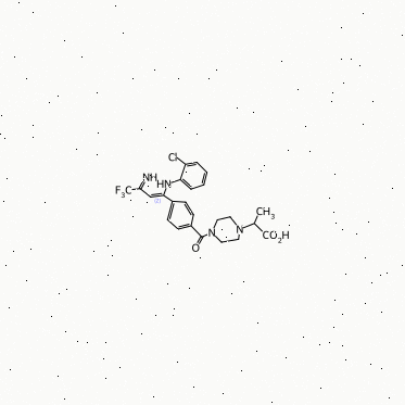 CC(C(=O)O)N1CCN(C(=O)c2ccc(/C(=C/C(=N)C(F)(F)F)Nc3ccccc3Cl)cc2)CC1